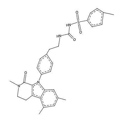 Cc1ccc(S(=O)(=O)NC(=O)NCCc2ccc(-n3c4c(c5c(C)cc(C)cc53)CCN(C)C4=O)cc2)cc1